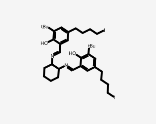 CC(C)(C)c1cc(CCCCI)cc(/C=N/C2CCCCC2/N=C/c2cc(CCCCI)cc(C(C)(C)C)c2O)c1O